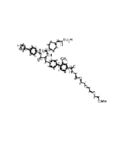 COCCOCCOCCOCCNC(=O)c1ccc(-c2ccc(C[C@H](NC(=O)[C@H]3CC[C@H](CNC(=O)O)CC3)C(=O)Nc3ccc(-c4nn[nH]n4)cc3)cc2)c(C)c1